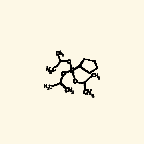 CC(C)O[Si](OC(C)C)(OC(C)C)C1CCCC1